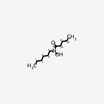 CCCCCCN(O)C(=O)CCCC